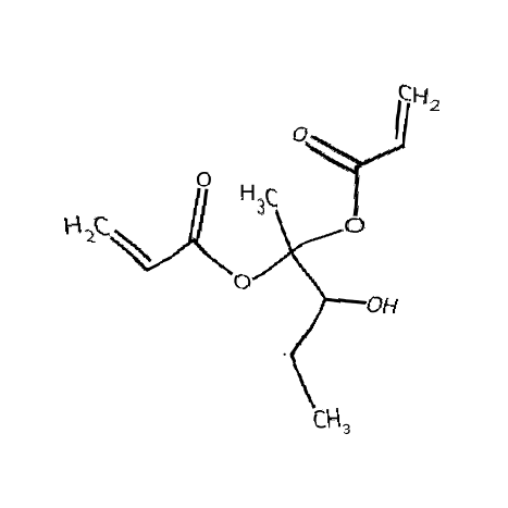 C=CC(=O)OC(C)(OC(=O)C=C)C(O)[CH]C